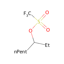 CCCCCC(CC)OS(=O)(=O)C(F)(F)F